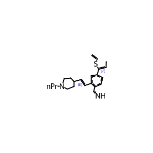 C=CS/C(=C\C)c1ccc(C=N)c(/C=C/C2CCN(CCC)CC2)c1